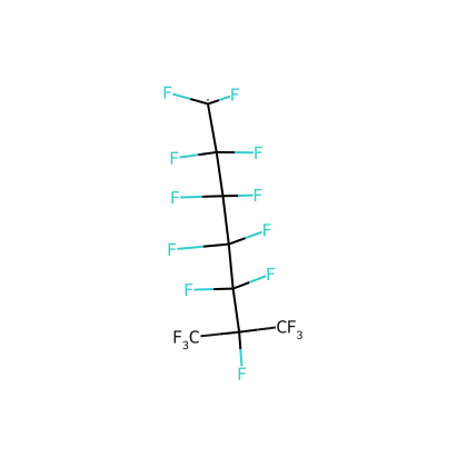 F[C](F)C(F)(F)C(F)(F)C(F)(F)C(F)(F)C(F)(C(F)(F)F)C(F)(F)F